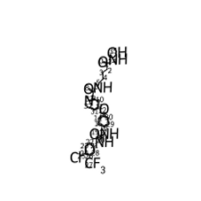 O=C(CCCCNC(=O)c1cc(Oc2ccc(NC(=O)Nc3ccc(Cl)c(C(F)(F)F)c3)cc2)ccn1)NO